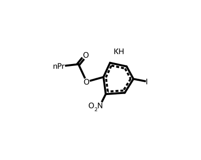 CCCC(=O)Oc1ccc(I)cc1[N+](=O)[O-].[KH]